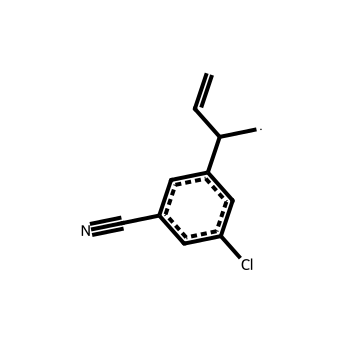 [CH2]C(C=C)c1cc(Cl)cc(C#N)c1